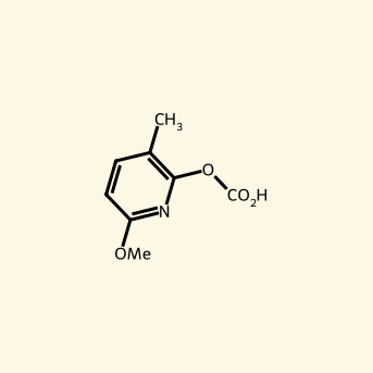 COc1ccc(C)c(OC(=O)O)n1